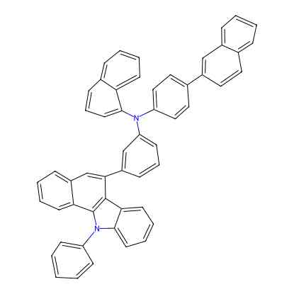 c1ccc(-n2c3ccccc3c3c(-c4cccc(N(c5ccc(-c6ccc7ccccc7c6)cc5)c5cccc6ccccc56)c4)cc4ccccc4c32)cc1